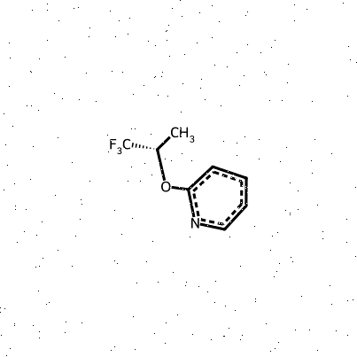 C[C@H](Oc1ccccn1)C(F)(F)F